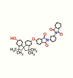 CC1(C)CC2(CC(C)(C)c3cc(Oc4ccc5c(c4)C(=O)N(c4cccc(N6C(=O)c7ccccc7C6=O)c4)C5=O)ccc32)c2ccc(O)cc21